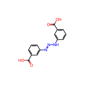 O=C(O)c1cccc(/N=N/Nc2cccc(C(=O)O)c2)c1